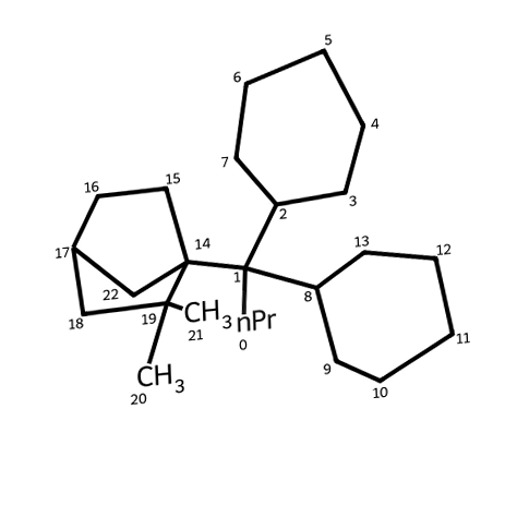 CCCC(C1CCCCC1)(C1CCCCC1)C12CCC(CC1(C)C)C2